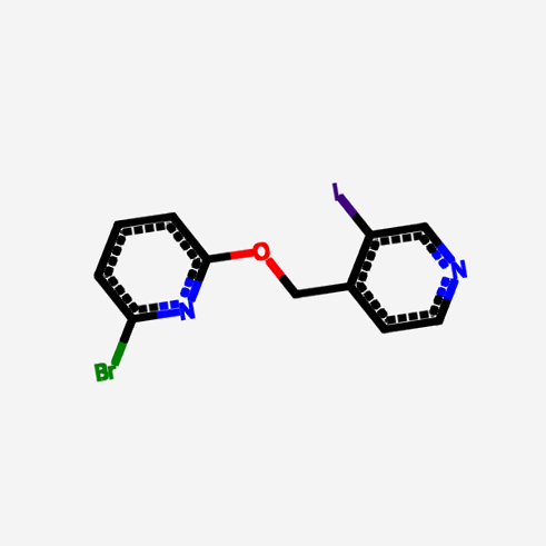 Brc1cccc(OCc2ccncc2I)n1